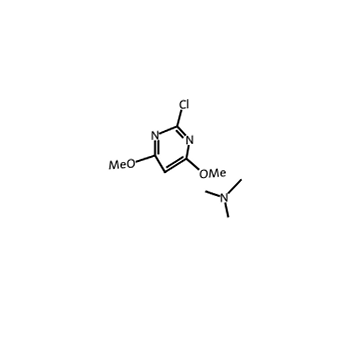 CN(C)C.COc1cc(OC)nc(Cl)n1